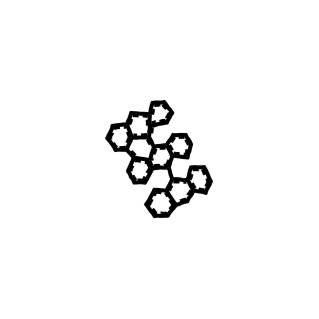 c1ccc2c(-c3c4ccccc4c4c5c3cccc5c3cccc5cc6ccccc6c4c53)c3ccccc3cc2c1